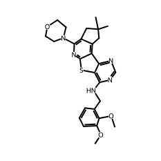 COc1cccc(CNc2ncnc3c2sc2nc(N4CCOCC4)c4c(c23)CC(C)(C)C4)c1OC